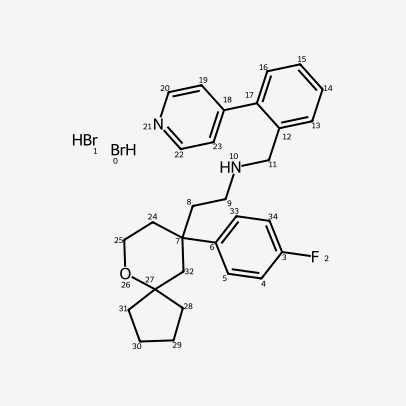 Br.Br.Fc1ccc(C2(CCNCc3ccccc3-c3ccncc3)CCOC3(CCCC3)C2)cc1